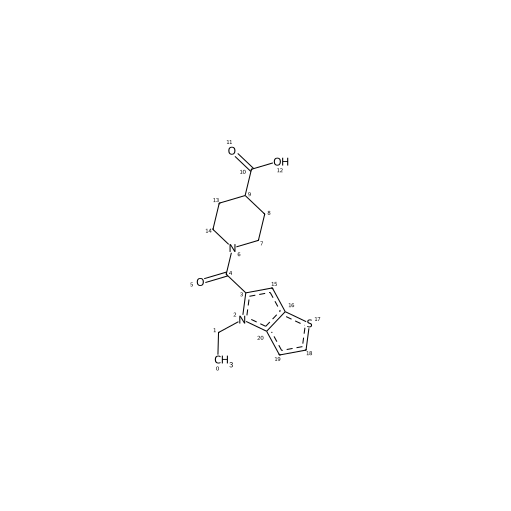 CCn1c(C(=O)N2CCC(C(=O)O)CC2)cc2sccc21